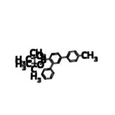 Cc1ccc(-c2ccc(B3OC(C)(C)C(C)(C)O3)c(-c3ccccc3)c2)cc1